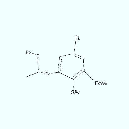 CCOC(C)Oc1cc(CC)cc(OC)c1OC(C)=O